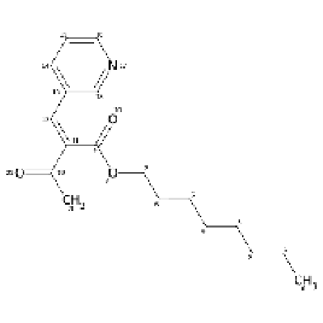 CCCCCCCCOC(=O)/C(=C\c1cccnc1)C(C)=O